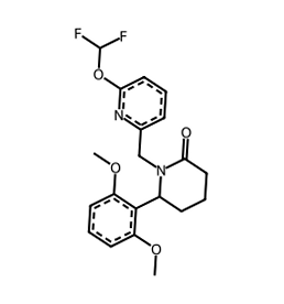 COc1cccc(OC)c1C1CCCC(=O)N1Cc1cccc(OC(F)F)n1